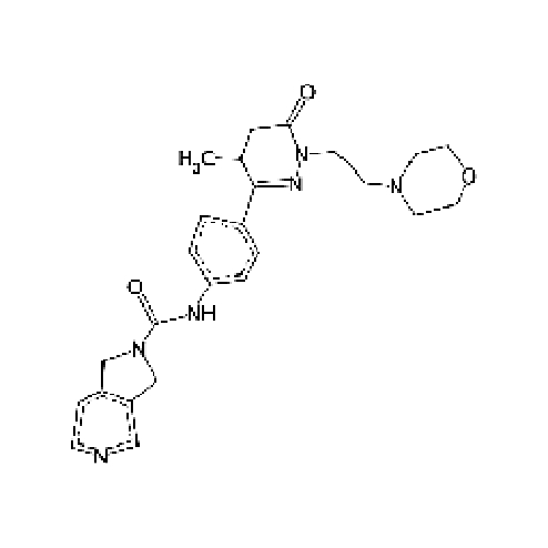 CC1CC(=O)N(CCN2CCOCC2)N=C1c1ccc(NC(=O)N2Cc3ccncc3C2)cc1